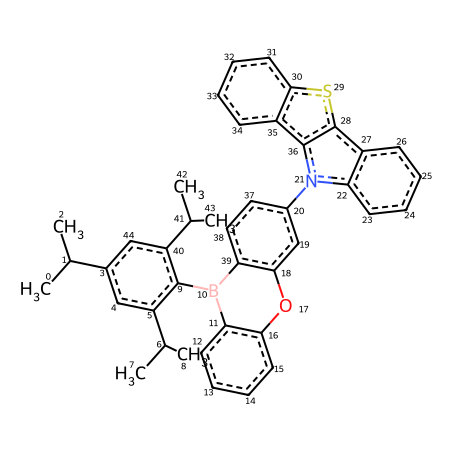 CC(C)c1cc(C(C)C)c(B2c3ccccc3Oc3cc(-n4c5ccccc5c5sc6ccccc6c54)ccc32)c(C(C)C)c1